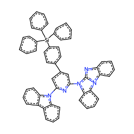 c1ccc([Si](c2ccccc2)(c2ccccc2)c2ccc(-c3cc(-n4c5ccccc5c5ccccc54)nc(-n4c5ccccc5n5c6ccccc6nc45)c3)cc2)cc1